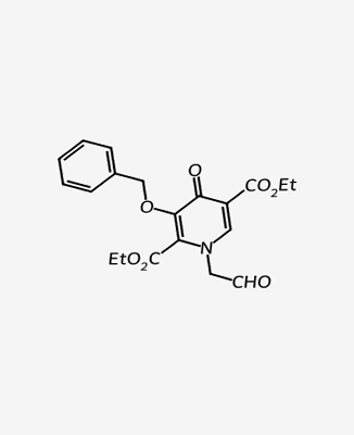 CCOC(=O)c1cn(CC=O)c(C(=O)OCC)c(OCc2ccccc2)c1=O